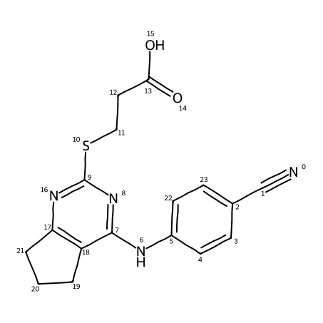 N#Cc1ccc(Nc2nc(SCCC(=O)O)nc3c2CCC3)cc1